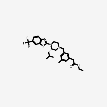 CCOC(=O)Cc1cc(C)cc(CN2CCN(c3nc4ccc(C(F)(F)F)cc4s3)[C@@H](CC(C)C)C2)c1